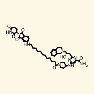 NC(=O)c1cc(NC2CCN(C(=O)CCCCCCCCCCCNc3ccc4c(c3)C(=O)N(C3CCC(=O)NC3=O)C4=O)CC2)nc(C[C@H](O)CN2CCc3ccccc3C2)n1